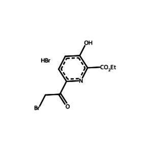 Br.CCOC(=O)c1nc(C(=O)CBr)ccc1O